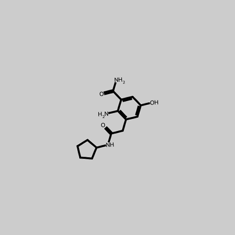 NC(=O)c1cc(O)cc(CC(=O)NC2CCCC2)c1N